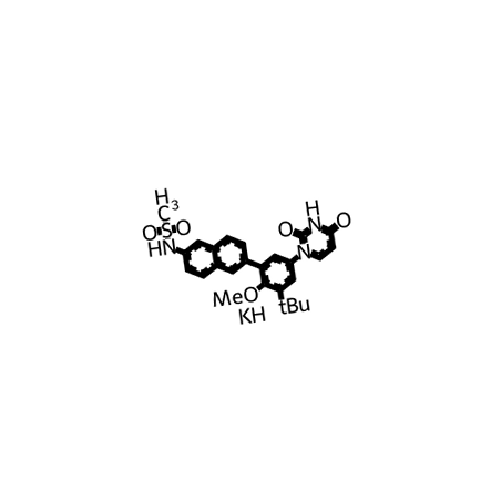 COc1c(-c2ccc3cc(NS(C)(=O)=O)ccc3c2)cc(-n2ccc(=O)[nH]c2=O)cc1C(C)(C)C.[KH]